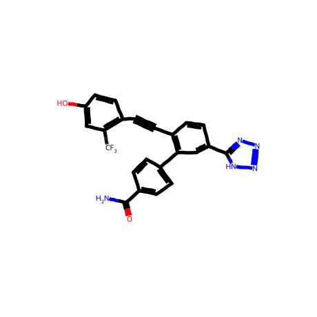 NC(=O)c1ccc(-c2cc(-c3nnn[nH]3)ccc2C#Cc2ccc(O)cc2C(F)(F)F)cc1